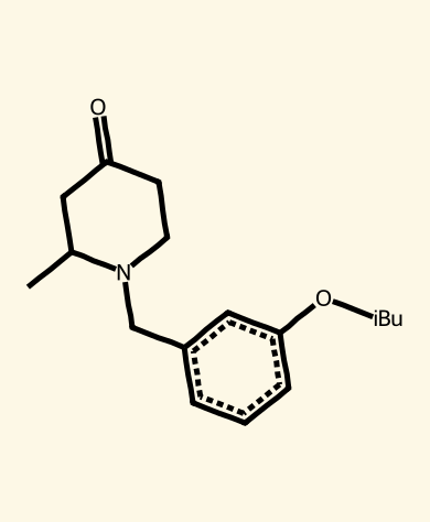 CCC(C)Oc1cccc(CN2CCC(=O)CC2C)c1